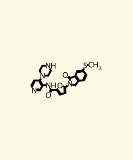 CSc1ccc2c(c1)C(=O)N(c1ccc(C(=O)Nc3cnccc3N3CCNCC3)o1)C2